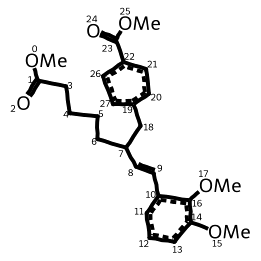 COC(=O)CCCCC(/C=C/c1cccc(OC)c1OC)Cc1ccc(C(=O)OC)cc1